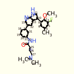 COc1c(F)cc(C)cc1-c1c[nH]c2ncc(-c3cccc(NC(=O)/C=C/CN(C)C)c3)cc12